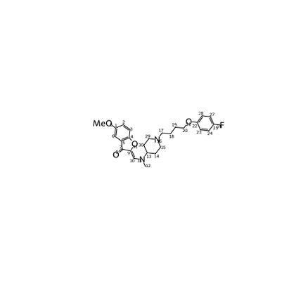 COc1ccc2c(c1)C(=O)C(=CN(C)C1CCN(CCCCOc3ccc(F)cc3)CC1)O2